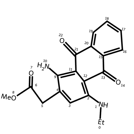 CCNc1cc(CC(=O)OC)c(N)c2c1C(=O)c1ccccc1C2=O